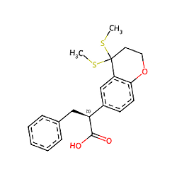 CSC1(SC)CCOc2ccc([C@H](Cc3ccccc3)C(=O)O)cc21